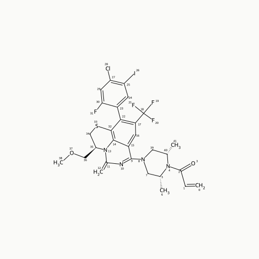 C=CC(=O)N1[C@H](C)CN(C2=NC(=C)N3c4c2cc(C(F)(F)F)c(-c2cc(I)c(Cl)cc2F)c4SC[C@@H]3COC)C[C@@H]1C